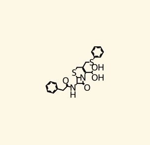 O=C(Cc1ccccc1)N[C@@H]1C(=O)N2C(C(O)O)=C(CSc3ccccc3)CSC12